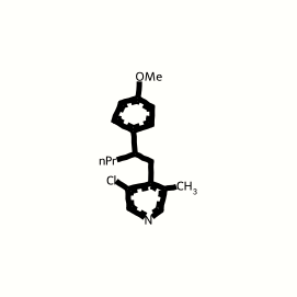 CCCC(Cc1c(C)cncc1Cl)c1ccc(OC)cc1